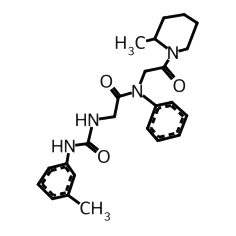 Cc1cccc(NC(=O)NCC(=O)N(CC(=O)N2CCCCC2C)c2ccccc2)c1